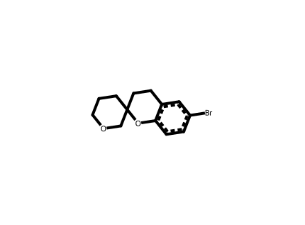 Brc1ccc2c(c1)CCC1(CCCOC1)O2